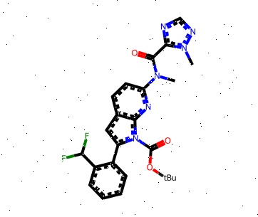 CN(C(=O)c1ncnn1C)c1ccc2cc(-c3ccccc3C(F)F)n(C(=O)OC(C)(C)C)c2n1